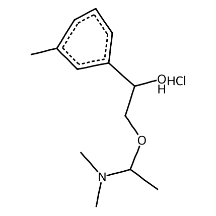 Cc1cccc(C(O)COC(C)N(C)C)c1.Cl